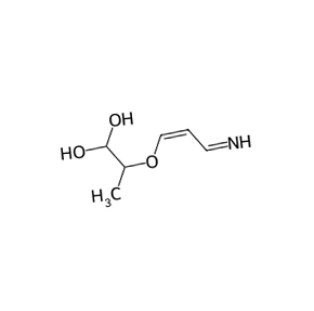 CC(O/C=C\C=N)C(O)O